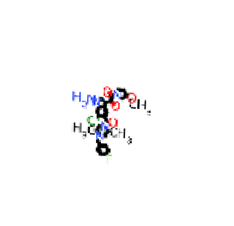 CO[C@@H]1CCN(C(=O)C(=O)c2cn(N)c3cc(Cl)c(C(=O)N4C[C@H](C)N(Cc5ccc(F)cc5)C[C@H]4C)cc23)C1